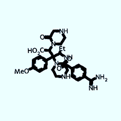 CCC(NC(=O)c1ccc(C(=N)N)cc1)C(c1ccc(OC)cc1)(C(C(=O)O)N1CCNCC1=O)N1CCNCC1=O